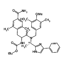 COc1c(C)cc(CN(C(=O)C(Cc2c(C)cc(C(N)=O)cc2C)NC(=O)OC(C)(C)C)[C@@H](C)c2nc(-c3ccccc3)c[nH]2)cc1C(=O)O